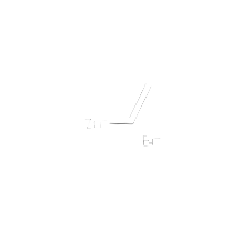 C=[CH][Zn+].[Br-]